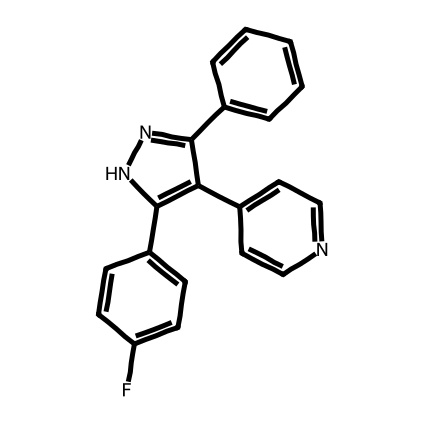 Fc1ccc(-c2[nH]nc(-c3ccccc3)c2-c2ccncc2)cc1